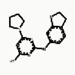 CCCc1cc(N2[CH]CCC2)nc(Nc2ccc3c(c2)NCC3)n1